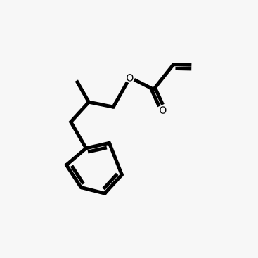 C=CC(=O)OCC(C)Cc1ccccc1